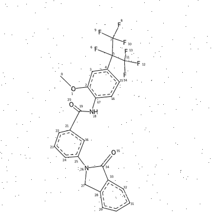 COc1cc(C(F)(C(F)(F)F)C(F)(F)F)ccc1NC(=O)c1cccc(N2Cc3ccccc3C2=O)c1